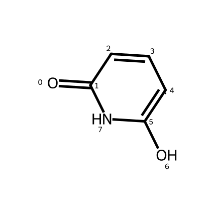 O=c1cc[c]c(O)[nH]1